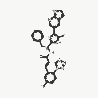 O=C(C=Cc1cc(Cl)ccc1-n1cnnn1)N[C@@H](Cc1ccccc1)c1nc(-c2cnc3[nH]ccc3c2)c(Cl)[nH]1